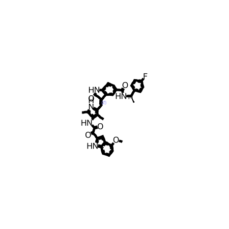 COc1cccc2[nH]c(C(=O)C(=O)Nc3c(C)[nH]c(/C=C4\C(=O)Nc5ccc(C(=O)N[C@H](C)c6ccc(F)cc6)cc54)c3C)cc12